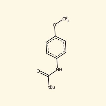 CC(C)(C)C(=O)Nc1ccc(OC(F)(F)F)cc1